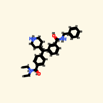 CCN(CC)C(=O)c1ccc(C(=C2CCNCC2)c2cccc(C(=O)NCc3ccccc3)c2)cc1